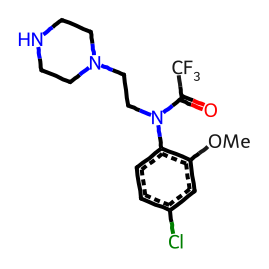 COc1cc(Cl)ccc1N(CCN1CCNCC1)C(=O)C(F)(F)F